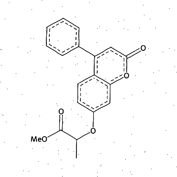 COC(=O)C(C)Oc1ccc2c(-c3ccccc3)cc(=O)oc2c1